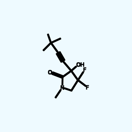 CN1CC(F)(F)C(O)(C#CC(C)(C)C)C1=O